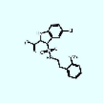 COc1ccccc1CCNS(=O)(=O)C1c2cc(Cl)ccc2NC1C(N)=O